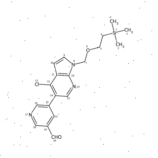 C[Si](C)(C)CCOCn1ccc2c(Cl)c(-c3cncc(C=O)c3)cnc21